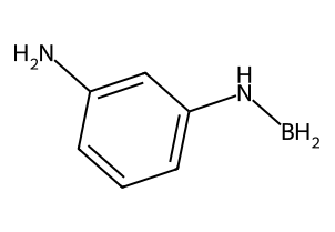 BNc1cccc(N)c1